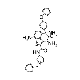 Nc1ccc2c3c(c(C(=O)NC4CCN(Cc5ccccc5)C4)sc13)C(N)C(=O)C2(N)c1ccc(Oc2ccccc2)cc1